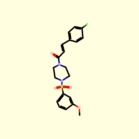 COc1cccc(S(=O)(=O)N2CCN(C(=O)/C=C/c3ccc(F)cc3)CC2)c1